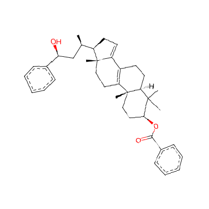 C[C@H](C[C@H](O)c1ccccc1)[C@H]1CC=C2C3=C(CC[C@@]21C)[C@@]1(C)CC[C@H](OC(=O)c2ccccc2)C(C)(C)[C@@H]1CC3